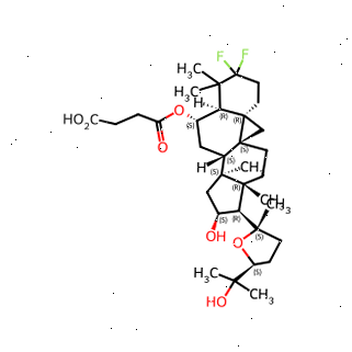 CC(C)(O)[C@@H]1CC[C@@](C)([C@H]2[C@@H](O)C[C@@]3(C)[C@@H]4C[C@H](OC(=O)CCC(=O)O)[C@H]5C(C)(C)C(F)(F)CC[C@@]56C[C@@]46CC[C@]23C)O1